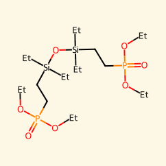 CCOP(=O)(CC[Si](CC)(CC)O[Si](CC)(CC)CCP(=O)(OCC)OCC)OCC